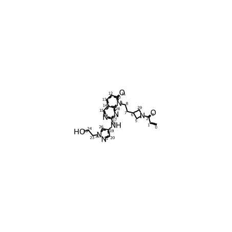 C=CC(=O)N1CC(CCn2c(=O)ccc3cnc(Nc4cnn(CCO)c4)nc32)C1